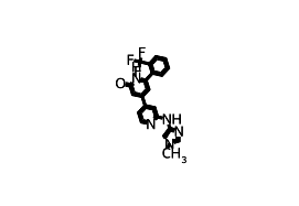 Cn1cnc(Nc2cc(-c3cc(-c4ccccc4C(F)(F)F)[nH]c(=O)c3)ccn2)c1